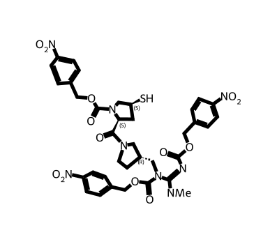 CNC(=NC(=O)OCc1ccc([N+](=O)[O-])cc1)N(C[C@@H]1CCN(C(=O)[C@@H]2C[C@H](S)CN2C(=O)OCc2ccc([N+](=O)[O-])cc2)C1)C(=O)OCc1ccc([N+](=O)[O-])cc1